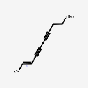 [CH2]CCCCCCCC#CC#C/C=C/CCC